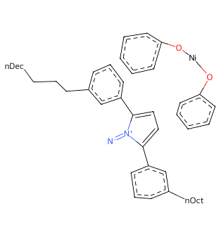 CCCCCCCCCCCCCc1cccc(C2=CC=C(c3cccc(CCCCCCCC)c3)[N+]2=[N-])c1.c1ccc([O][Ni][O]c2ccccc2)cc1